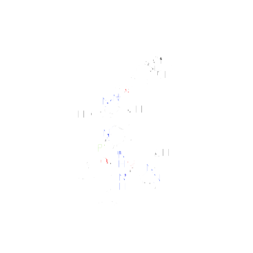 CCn1nccc1C(=O)NC(C(=O)Nc1ccc(-c2c(C)nn(COCC[Si](C)(C)C)c2C)nc1F)C(C1CC1)C1CC1